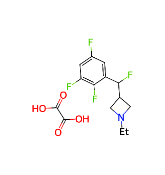 CCN1CC(C(F)c2cc(F)cc(F)c2F)C1.O=C(O)C(=O)O